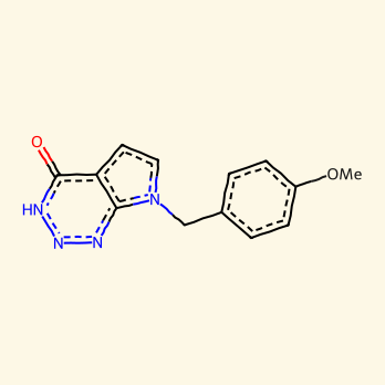 COc1ccc(Cn2ccc3c(=O)[nH]nnc32)cc1